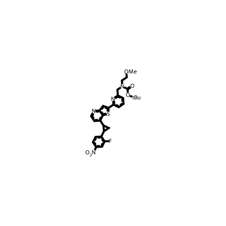 COCCN(Cc1cccc(-c2cc3nccc(C4CC4c4ccc([N+](=O)[O-])cc4F)c3s2)n1)C(=O)OC(C)(C)C